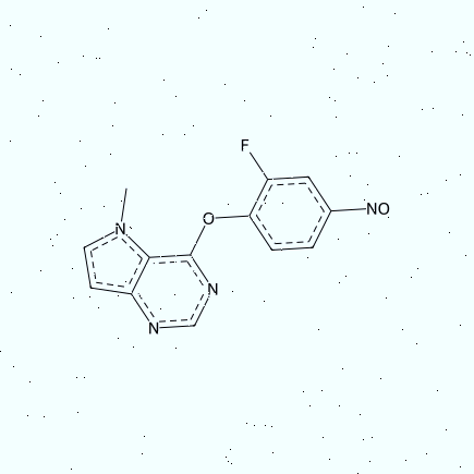 Cn1ccc2ncnc(Oc3ccc(N=O)cc3F)c21